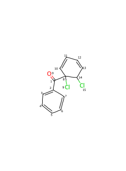 O=C(c1ccccc1)C1(Cl)C=CC=CC1Cl